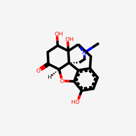 CN1CC[C@]23c4c5ccc(O)c4O[C@H]2C(=O)CC(O)C3(O)C1C5